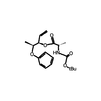 C=C[C@@H](OC(=O)[C@H](C)NC(=O)OC(C)(C)C)[C@H](C)Oc1ccccc1